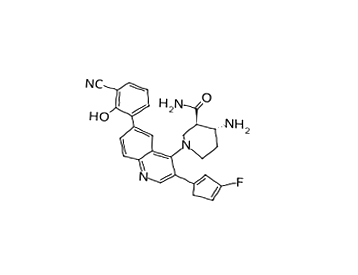 N#Cc1cccc(-c2ccc3ncc(C4=CC(F)=CC4)c(N4CC[C@@H](N)[C@H](C(N)=O)C4)c3c2)c1O